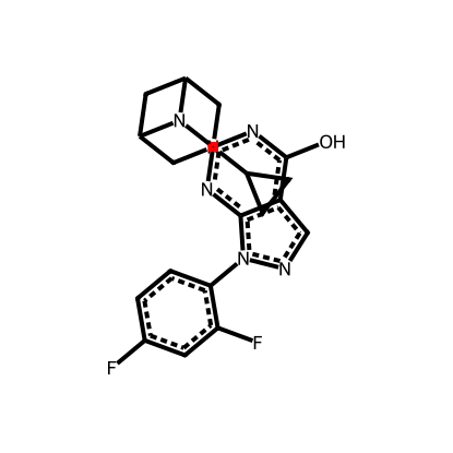 Oc1nc(N2C3CC2CN(C2CC2)C3)nc2c1cnn2-c1ccc(F)cc1F